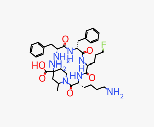 CC1CC(N)(C(=O)O)CCN1C(=O)[C@@H](CCCCN)NC(=O)C(CCCF)NC(=O)[C@@H](Cc1ccccc1)NC(=O)[C@H](N)Cc1ccccc1